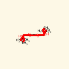 CCCCCC(OC(=O)C[N+](C)(C)OC(=O)CCC)C(O)C/C=C\CCCCCCCC(=O)OCCCCCCCCCCOC(=O)CCCCCCC/C=C\CC(O)C(CCCCC)OC(=O)C[N+](C)(C)OC(=O)CCC